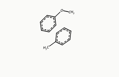 COc1ccccc1.Cc1ccccc1